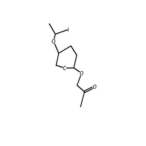 CC(=O)COC1CCC(OC(C)I)CC1